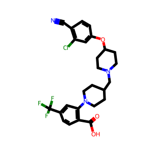 N#Cc1ccc(OC2CCN(CC3CCN(c4cc(C(F)(F)F)ccc4C(=O)O)CC3)CC2)cc1Cl